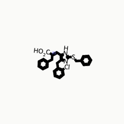 O=C(O)/C(=C/c1[nH]c(SCc2ccccc2)nc1Cc1ccccc1Cl)Cc1ccccc1